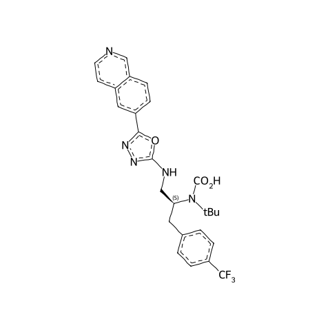 CC(C)(C)N(C(=O)O)[C@H](CNc1nnc(-c2ccc3cnccc3c2)o1)Cc1ccc(C(F)(F)F)cc1